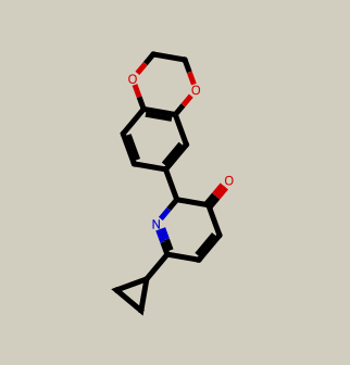 O=C1C=CC(C2CC2)=NC1c1ccc2c(c1)OCCO2